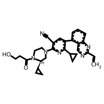 C=Cc1ncc2c(-c3cc(C#N)c(N4CCN(C(=O)CCO)[C@H](C5CC5)C4)nc3C3CC3)cccc2n1